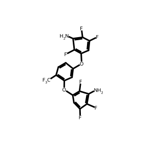 Nc1c(F)c(F)cc(Oc2ccc(C(F)(F)F)c(Oc3cc(F)c(F)c(N)c3F)c2)c1F